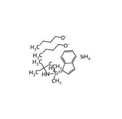 CC(C)(C)[NH][Ti+2]([CH3])([CH3])[CH]1C=Cc2ccccc21.CCCC[O-].CCCC[O-].[SiH4]